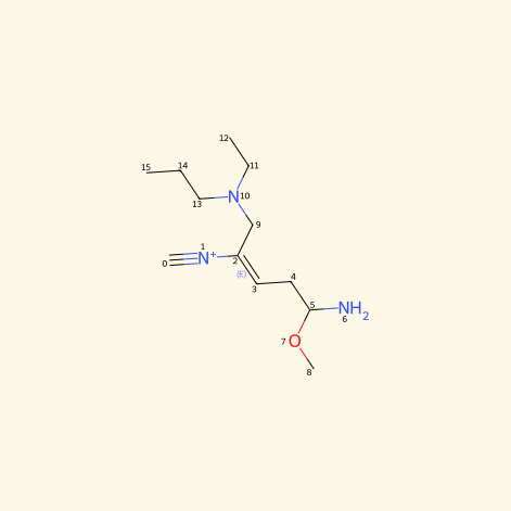 C#[N+]/C(=C/CC(N)OC)CN(CC)CCC